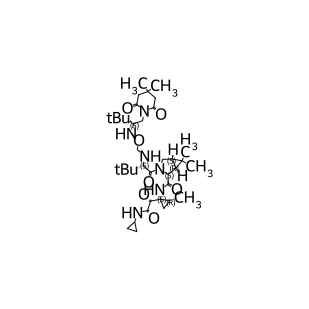 C[C@@H]1C[C@@]1(NC(=O)[C@@H]1[C@@H]2[C@H](CN1C(=O)[C@@H](NCON[C@H](CN1C(=O)CC(C)(C)CC1=O)C(C)(C)C)C(C)(C)C)C2(C)C)C(=O)C(=O)NC1CC1